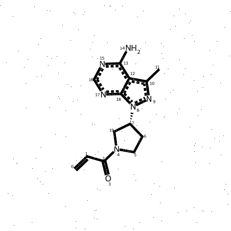 C=CC(=O)N1CC[C@@H](n2nc(C)c3c(N)ncnc32)C1